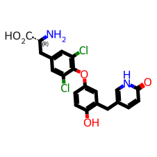 N[C@H](Cc1cc(Cl)c(Oc2ccc(O)c(Cc3ccc(=O)[nH]c3)c2)c(Cl)c1)C(=O)O